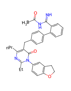 BC(=O)NC(=N)c1ccccc1-c1ccc(Cc2c(CCC)nc(CC)n(-c3ccc4c(c3)CCO4)c2=O)cc1